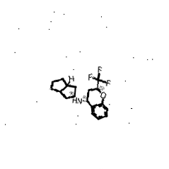 FC(F)(F)[C@@H]1C[C@@H](N[C@@H]2C[C]3CCC[C@@H]3C2)c2ccccc2O1